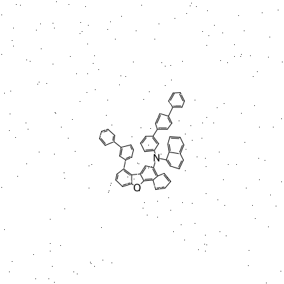 c1ccc(-c2ccc(-c3cccc(N(c4cccc5ccccc45)c4cc5c(oc6cccc(-c7cccc(-c8ccccc8)c7)c65)c5ccccc45)c3)cc2)cc1